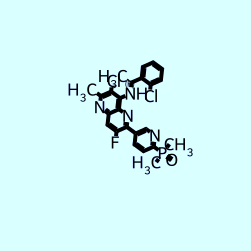 Cc1nc2cc(F)c(-c3ccc(P(C)(C)=O)nc3)nc2c(N[C@H](C)c2ccccc2Cl)c1Cl